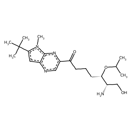 CC(C)O[C@@H](CCCC(=O)c1cnc2cc(C(C)(C)C)n(C)c2n1)[C@@H](N)CO